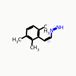 Cc1ccc(C)c(/C=C\N=N)c1C